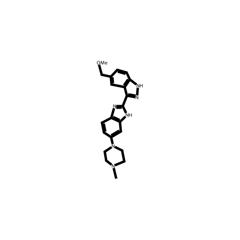 COCc1ccc2[nH]nc(-c3nc4ccc(N5CCN(C)CC5)cc4[nH]3)c2c1